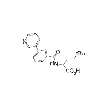 CC(C)(C)/C=C/C(NC(=O)c1cccc(-c2cccnc2)c1)C(=O)O